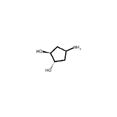 NC1C[C@H](O)[C@@H](O)C1